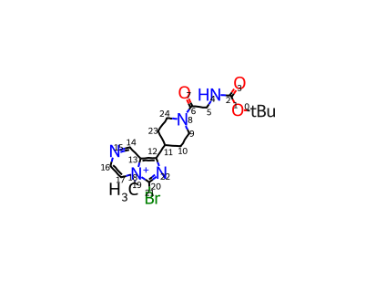 CC(C)(C)OC(=O)NCC(=O)N1CCC(C2=C3C=NC=C[N+]3(C)C(Br)=N2)CC1